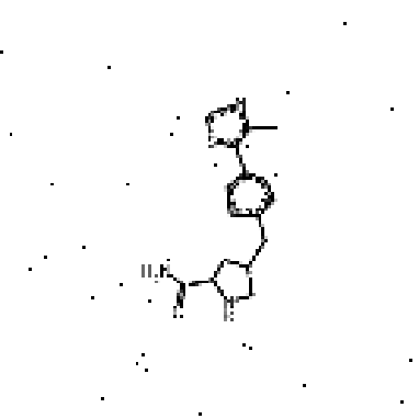 Cc1ncsc1-c1ccc(CC2CNC(C(N)=O)C2)cc1